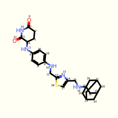 O=C1CCC(Nc2ccc(NCc3nc(CNC45CC6CC(CC(C6)C4)C5)cs3)cc2)C(=O)N1